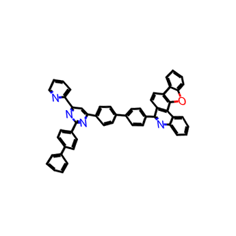 c1ccc(-c2ccc(-c3nc(-c4ccc(-c5ccc(-c6nc7ccccc7c7c6ccc6c8ccccc8oc67)cc5)cc4)cc(-c4ccccn4)n3)cc2)cc1